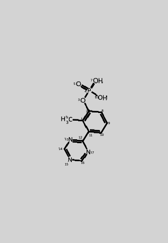 Cc1c(OP(=O)(O)O)cccc1-c1ncncn1